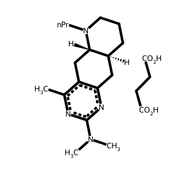 CCCN1CCC[C@H]2Cc3nc(N(C)C)nc(C)c3C[C@@H]21.O=C(O)CCC(=O)O